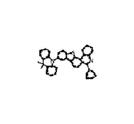 CC1(C)c2ccccc2N(c2ccc3sc4c(ccc5c(-c6ccccc6)nc6ccccc6c54)c3c2)c2ccccc21